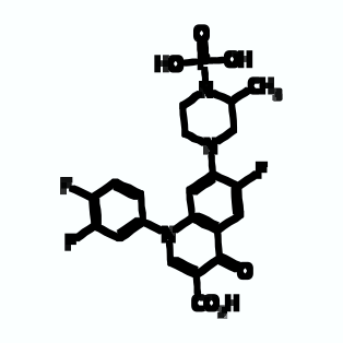 CC1CN(c2cc3c(cc2F)c(=O)c(C(=O)O)cn3-c2ccc(F)c(F)c2)CCN1P(=O)(O)O